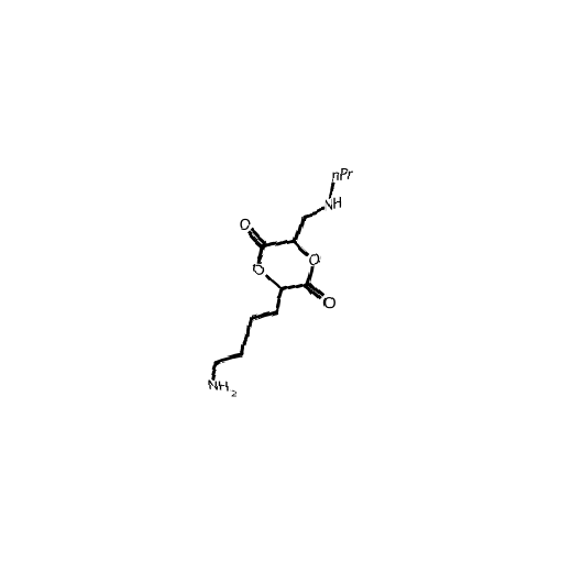 CCCNCC1OC(=O)C(CCCCN)OC1=O